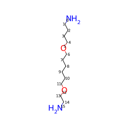 NCCCCOCCCCCCOCCN